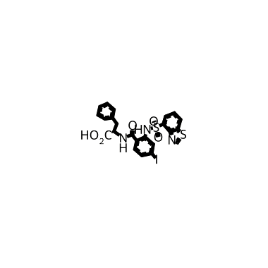 O=C(N[C@@H](Cc1ccccc1)C(=O)O)c1ccc(I)cc1NS(=O)(=O)c1cccc2scnc12